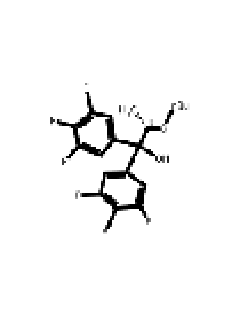 CCCCO[C@@H](C)C(O)(c1cc(F)c(F)c(F)c1)c1cc(F)c(F)c(F)c1